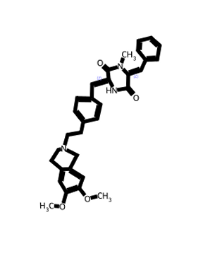 COc1cc2c(cc1OC)CN(CCc1ccc(/C=c3\[nH]c(=O)/c(=C/c4ccccc4)n(C)c3=O)cc1)CC2